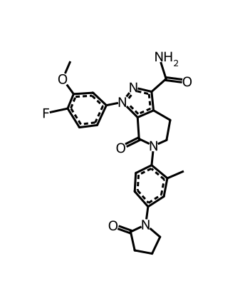 COc1cc(-n2nc(C(N)=O)c3c2C(=O)N(c2ccc(N4CCCC4=O)cc2C)CC3)ccc1F